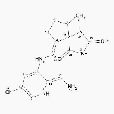 CC1CC/C(=C\NC2=CC(Cl)=CN/C2=C\N)C12NC(=O)NC2=O